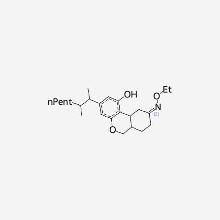 CCCCCC(C)C(C)c1cc(O)c2c(c1)OCC1CC/C(=N/OCC)CC21